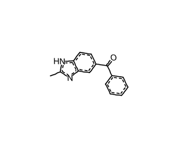 Cc1nc2cc(C(=O)c3ccccc3)ccc2[nH]1